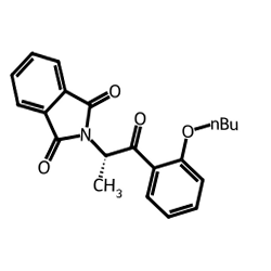 CCCCOc1ccccc1C(=O)[C@H](C)N1C(=O)c2ccccc2C1=O